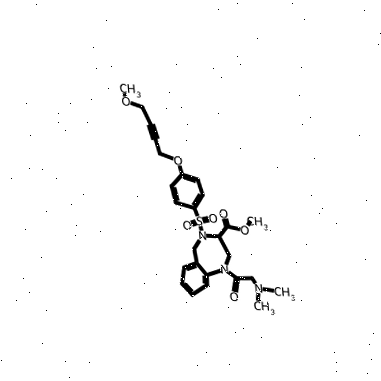 COCC#CCOc1ccc(S(=O)(=O)N2Cc3ccccc3N(C(=O)CN(C)C)CC2C(=O)OC)cc1